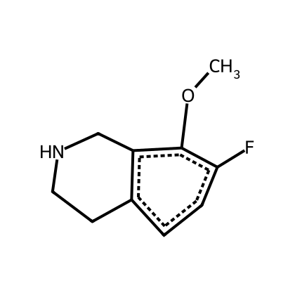 COc1c(F)ccc2c1CNCC2